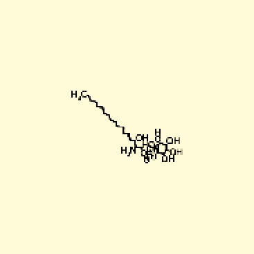 CCCCCCCCCCCCC/C=C/[C@@H](O)[C@@H](N)COP(=O)(O)OC1C(O)C(O)C(O)[C@@H](O)C1O